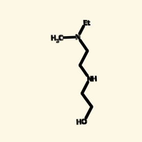 CCN(C)CCNCCO